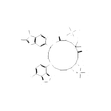 Cc1nc2cc([C@@H]3CCN(c4ccc([N+](=O)[O-])c5nonc45)CCC[C@H](C)[C@H](O[Si](C)(C)C(C)(C)C)[C@@H](C)C(=O)C(C)(C)[C@@H](O[Si](C)(C)C(C)(C)C)CC(=O)O3)ccc2n1C